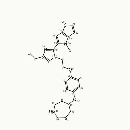 CCc1cn(CCOc2ccc(OC3CCCNCC3)cc2)c(-c2cc3sccc3n2C)n1